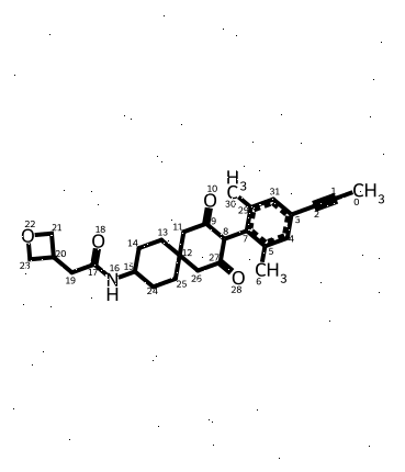 CC#Cc1cc(C)c(C2C(=O)CC3(CCC(NC(=O)CC4COC4)CC3)CC2=O)c(C)c1